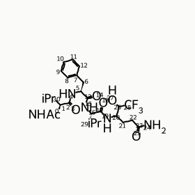 CC(=O)N[C@H](C(=O)N[C@@H](Cc1ccccc1)C(=O)N[C@H](C(=O)NC(CCC(N)=O)C(O)C(F)(F)F)C(C)C)C(C)C